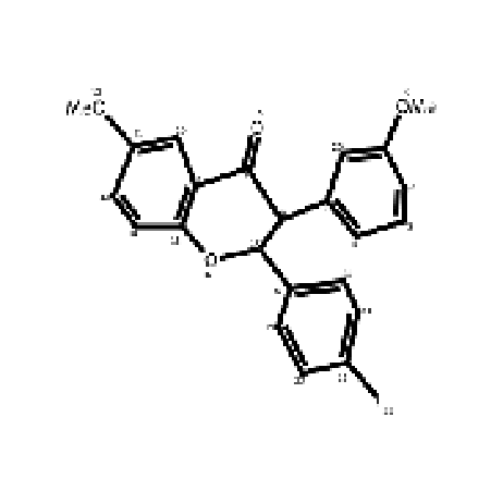 COc1cccc(C2C(=O)c3cc(OC)ccc3OC2c2ccc(I)cc2)c1